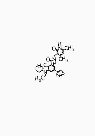 CCN(c1cc(-c2cscn2)cc(C(=O)NCc2c(C)cc(C)[nH]c2=O)c1C)C1CCCCC1